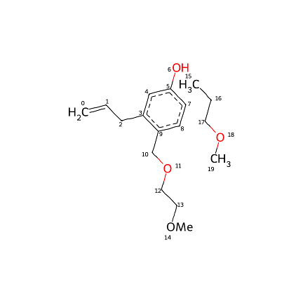 C=CCc1cc(O)ccc1COCCOC.CCCOC